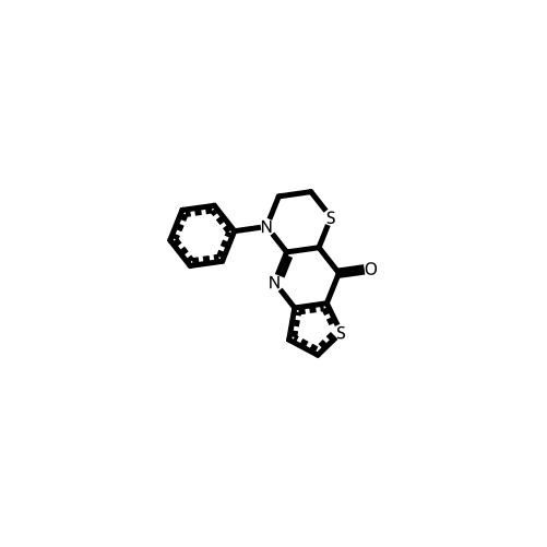 O=C1c2sccc2N=C2C1SCCN2c1ccccc1